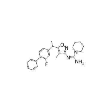 Cc1c(/N=C(/N)N2CCCCC2)noc1C(C)c1ccc(-c2ccccc2)c(F)c1